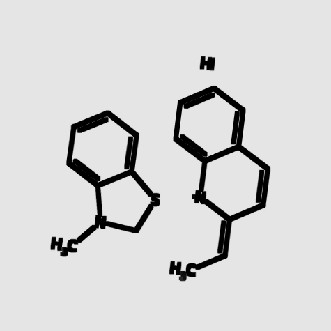 CC=C1C=Cc2ccccc2[N]1.CN1CSc2ccccc21.I